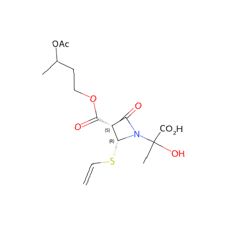 C=CS[C@@H]1[C@H](C(=O)OCCC(C)OC(C)=O)C(=O)N1C(C)(O)C(=O)O